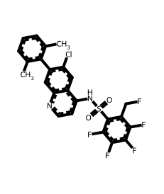 Cc1cccc(C)c1-c1cc2nccc(NS(=O)(=O)c3c(F)c(F)c(F)c(F)c3CF)c2cc1Cl